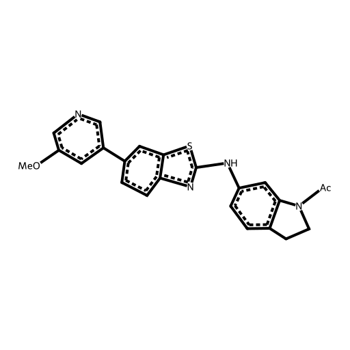 COc1cncc(-c2ccc3nc(Nc4ccc5c(c4)N(C(C)=O)CC5)sc3c2)c1